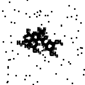 COC(=O)c1c(C(F)F)nc(C(F)(F)F)c(C(=O)Sc2cc(C)cc(C)c2)c1CC(C)C